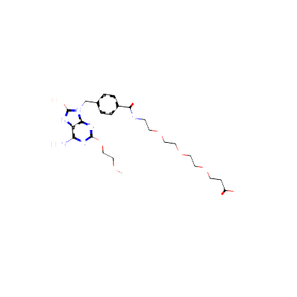 COCCOc1nc(N)c2nc(O)n(Cc3ccc(C(=O)NCCOCCOCCOCCC(=O)O)cc3)c2n1